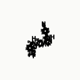 C[C@H](NC(=O)N1CCN(c2ncnc3[nH]c(-c4ccc(C#N)cc4)cc23)C[C@H]1C)c1cccc(OC(F)F)c1